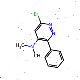 CN(C)c1cc(Br)nnc1-c1ccccc1